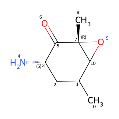 CC1C[C@H](N)C(=O)[C@]2(C)OC12